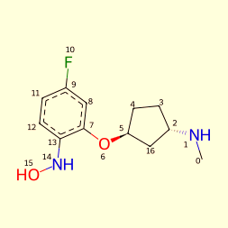 CN[C@H]1CC[C@H](Oc2cc(F)ccc2NO)C1